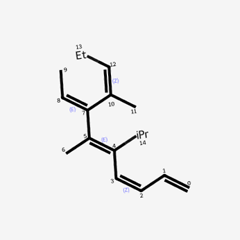 C=C\C=C/C(=C(C)/C(=C/C)C(/C)=C\CC)C(C)C